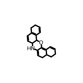 C1=CC2=C(C=CC3NC4=CCC5CCC=CC5=C4OC23)CC1